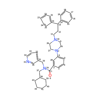 O=C(c1cccc(N2CCN(CCC(c3ccccc3)c3ccccc3)CC2)c1)N(Cc1cccnc1)CC1CCCCC1